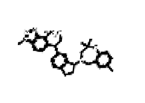 CCOC(=O)CC(c1ccc2c(c1)C(N1Cc3cc(C)ccc3OC(C)(C)C1)CC2)c1ccc2c(nnn2C)c1C